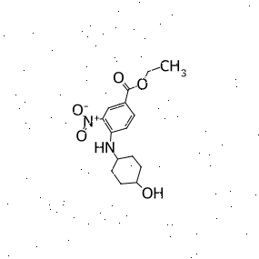 CCOC(=O)c1ccc(NC2CCC(O)CC2)c([N+](=O)[O-])c1